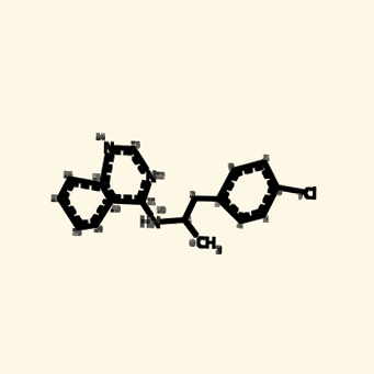 CC(Cc1ccc(Cl)cc1)Nc1ncnc2ccccc12